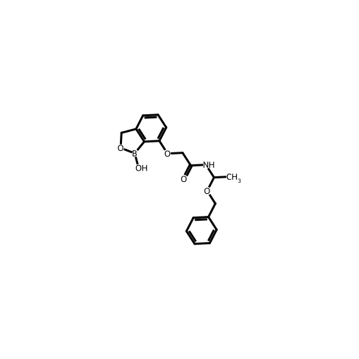 CC(NC(=O)COc1cccc2c1B(O)OC2)OCc1ccccc1